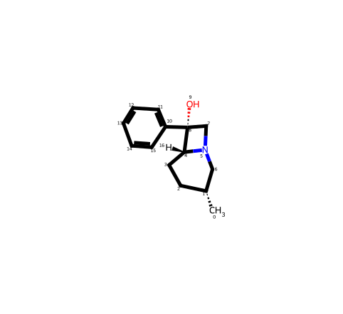 C[C@@H]1CC[C@H]2N(C1)C[C@]2(O)c1ccccc1